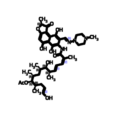 CC(=O)O[C@H]([C@H](C)C/C=C/O)[C@H](C)C[C@H](C)[C@@H](O)[C@@H](C)/C=C/C=C(/C)C(=O)Nc1c(/C=N/N2CCN(C)CC2)c(O)c2c3c(cc(O)c2c1O)O[C@@H](C)C3=O